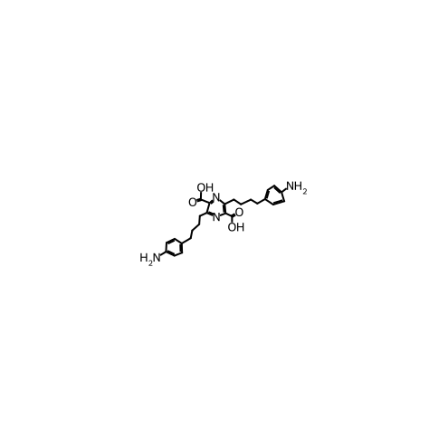 Nc1ccc(CCCCc2nc(C(=O)O)c(CCCCc3ccc(N)cc3)nc2C(=O)O)cc1